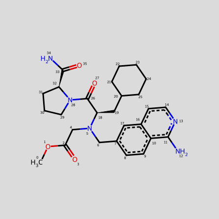 COC(=O)CN(Cc1ccc2c(N)nccc2c1)[C@H](CC1CCCCC1)C(=O)N1CCC[C@H]1C(N)=O